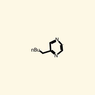 CCCCCc1cn[c]cn1